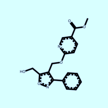 COC(=O)c1ccc(OCc2c(-c3ccccc3)noc2CO)nc1